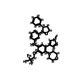 Cn1cc(-c2cc(Nc3cc(N4OCC[C@@H]4c4ccccc4)ncn3)c(OCC(F)(F)F)cc2N2CCOCC2)cn1